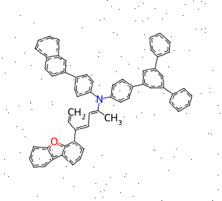 C=C/C(=C\C=C(/C)N(c1ccc(-c2cc(-c3ccccc3)cc(-c3ccccc3)c2)cc1)c1ccc(-c2ccc3ccccc3c2)cc1)c1cccc2c1oc1ccccc12